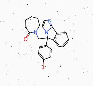 O=C1CCCCCN1CC1(c2ccc(Br)cc2)c2ccccc2-c2nccn21